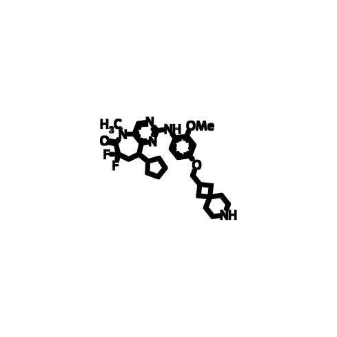 COc1cc(OCC2CC3(CCNCC3)C2)ccc1Nc1ncc2c(n1)C(C1CCCC1)CC(F)(F)C(=O)N2C